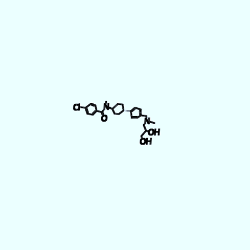 CN(Cc1ccc([C@H]2CC[C@H](N(C)C(=O)c3ccc(Cl)cc3)CC2)cc1)C[C@@H](O)CO